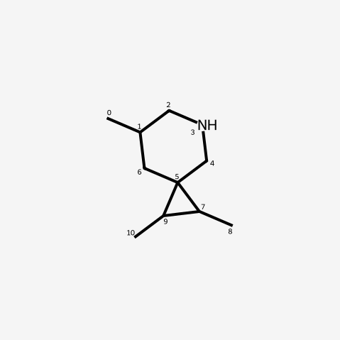 CC1CNCC2(C1)C(C)C2C